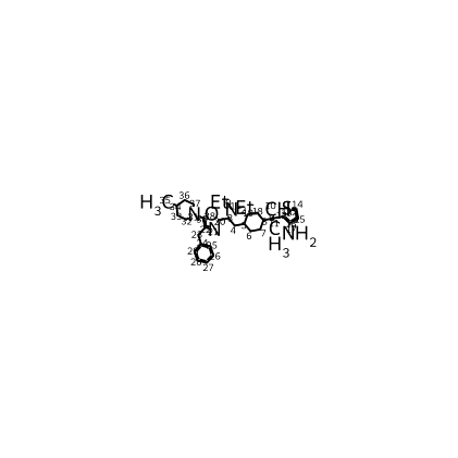 CCN(CC)C(CC1CCC(C(C)(C)c2sccc2N)CC1)c1nc(Cc2ccccc2)c(N2CCC(C)CC2)o1